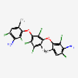 Nc1c(F)cc(C(F)(F)F)c(Oc2c(F)c(F)c(C(F)(F)F)c(Oc3c(C(F)(F)F)cc(F)c(N)c3F)c2F)c1F